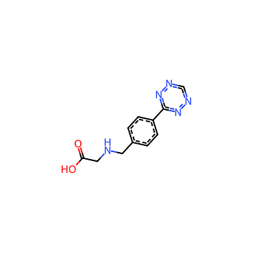 O=C(O)CNCc1ccc(-c2nncnn2)cc1